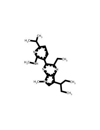 CCc1nc2c(C(CC)CC)cn(C)c2nc1-c1ccc(C(C)C)nc1NC